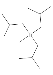 CC(C)[CH2][Ti]([CH3])([CH2]C(C)C)[CH2]C(C)C